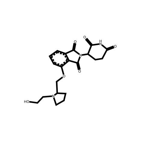 O=C1CCC(N2C(=O)c3cccc(OCC4CCCN4CCO)c3C2=O)C(=O)N1